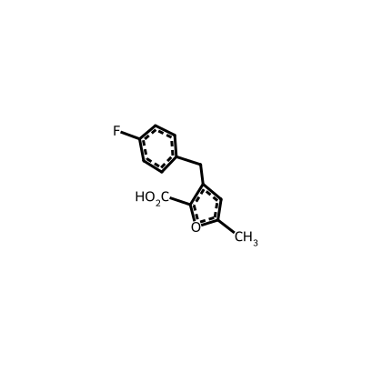 Cc1cc(Cc2ccc(F)cc2)c(C(=O)O)o1